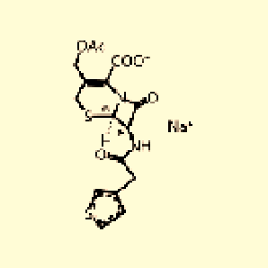 CC(=O)OCC1=C(C(=O)[O-])N2C(=O)[C@@H](NC(=O)Cc3ccsc3)[C@H]2SC1.[Na+]